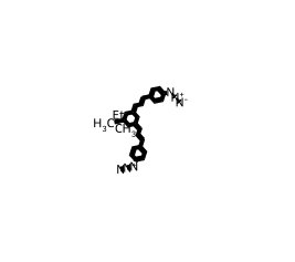 CCC(C)(C)C1CC(=CC=Cc2ccc(N=[N+]=[N-])cc2)CC(=CC=Cc2ccc(N=[N+]=[N-])cc2)C1